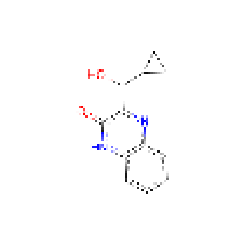 O=c1[nH]c2ccccc2nc1C(O)C1CC1